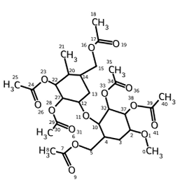 COC1CC(COC(C)=O)C(OC2CC(COC(C)=O)C(C)C(OC(C)=O)C2OC(C)=O)C(OC(C)=O)C1OC(C)=O